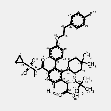 Cc1nc(C(=O)NS(=O)(=O)C2CC2)c(-c2ccc(OCCc3ccc(F)cc3)cc2)c(N2CCC(C)(C)CC2)c1[C@H](OC(C)(C)C)C(=O)O